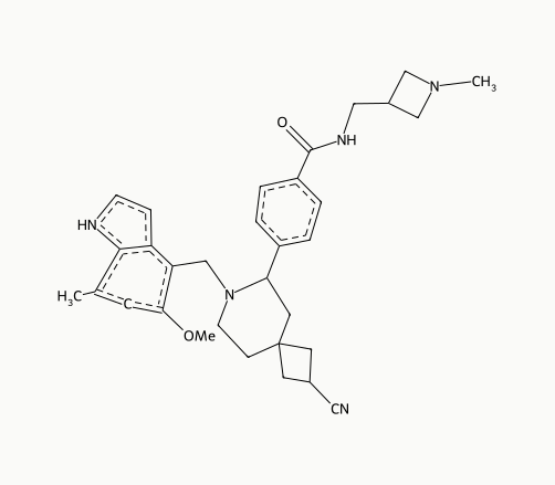 COc1cc(C)c2[nH]ccc2c1CN1CCC2(CC(C#N)C2)CC1c1ccc(C(=O)NCC2CN(C)C2)cc1